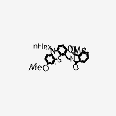 CCCCCCN1c2ccc(OC)[c]c2Sc2c1ccc(OC)c2CN1C(=O)c2ccccc2C1=O